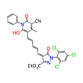 CCOC(=O)C1=NN(c2c(Cl)cc(Cl)cc2Cl)C(=O)/C1=C\C=CC=Cc1c(C)c(C#N)c(=O)n(-c2ccccc2)c1O